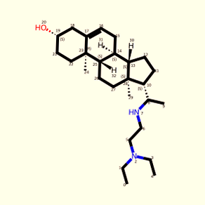 CCN(CC)CCNC(C)[C@H]1CC[C@H]2[C@@H]3CC=C4C[C@@H](O)CC[C@]4(C)[C@H]3CC[C@]12C